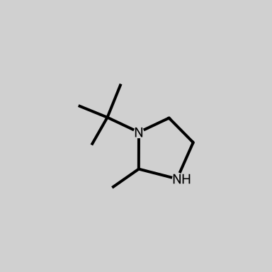 CC1NCCN1C(C)(C)C